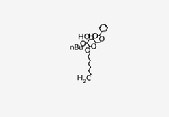 C=CCCCCCCO[C@@H]1OC2COC(c3ccccc3)O[C@@H]2C(O)C1OCCCC